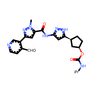 CC(C)NC(=O)O[C@@H]1CC[C@H](c2cc(NC(=O)c3cc(-c4cnccc4C=O)nn3C)n[nH]2)C1